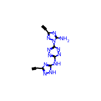 C#Cc1n[nH]c(Nc2nnc(-n3nc(C#C)nc3N)nn2)n1